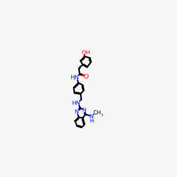 CNc1nc(NCc2ccc(NC(=O)Cc3cccc(O)c3)cc2)nc2ccccc12